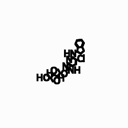 O[C@@H]1CO[C@H]2[C@@H]1OC[C@H]2Oc1nc2nc(N[C@@H]3CCc4ccccc43)c(Cl)cc2[nH]1